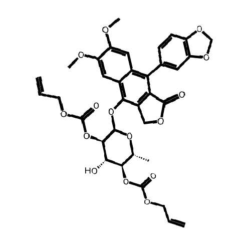 C=CCOC(=O)O[C@H]1[C@H](O)[C@@H](OC(=O)OCC=C)C(Oc2c3c(c(-c4ccc5c(c4)OCO5)c4cc(OC)c(OC)cc24)C(=O)OC3)O[C@@H]1C